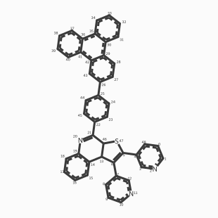 c1cncc(C2=C(c3cccnc3)C3c4ccccc4N=C(c4ccc(-c5ccc6c7ccccc7c7ccccc7c6c5)cc4)C3S2)c1